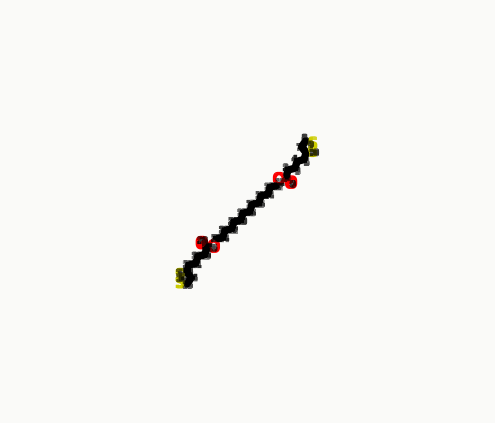 O=C(CCCCC1CCSS1)OCCCCCCCCCCCCCCOC(=O)CCCCC1CCSS1